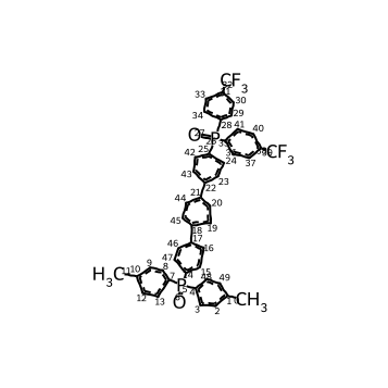 Cc1ccc(P(=O)(c2ccc(C)cc2)c2ccc(-c3ccc(-c4ccc(P(=O)(c5ccc(C(F)(F)F)cc5)c5ccc(C(F)(F)F)cc5)cc4)cc3)cc2)cc1